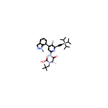 CC(C)[Si](C#Cc1nc(NC(=O)[C@H](C)N(CC(C)(C)C)C(=O)O)cc(-c2cccc3cnn(C)c23)c1Cl)(C(C)C)C(C)C